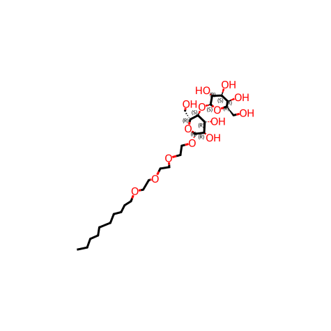 CCCCCCCCCCOCCOCCOCCO[C@@H]1O[C@H](CO)[C@@H](O[C@@H]2O[C@H](CO)[C@H](O)[C@H](O)[C@H]2O)[C@H](O)[C@H]1O